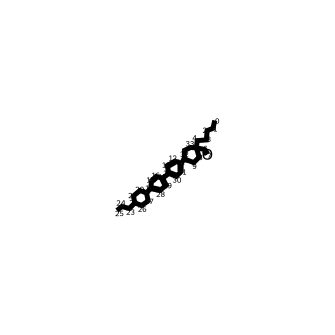 CCCCCC1(C=O)CCC(c2ccc(-c3ccc(C4CCC(CCC)CC4)cc3)cc2)CC1